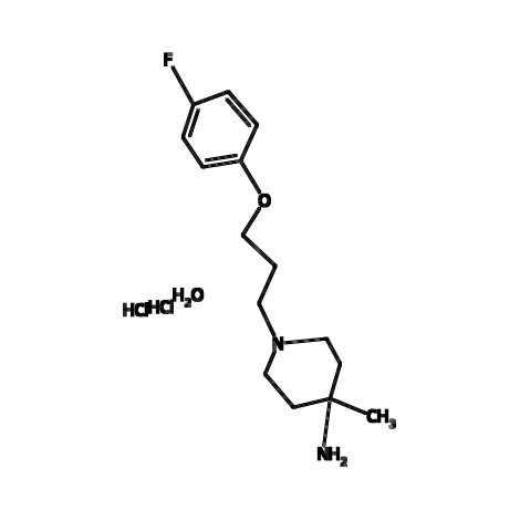 CC1(N)CCN(CCCOc2ccc(F)cc2)CC1.Cl.Cl.O